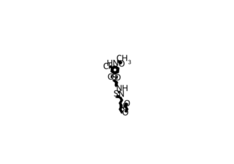 CC(=O)Nc1ccc(S(=O)(=O)CC=CNc2nc(CCN3CCOCC3=O)cs2)cc1Cl